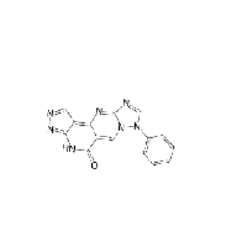 O=c1[nH]c2nncc2c2nc3ncn(-c4ccccc4)n3cc12